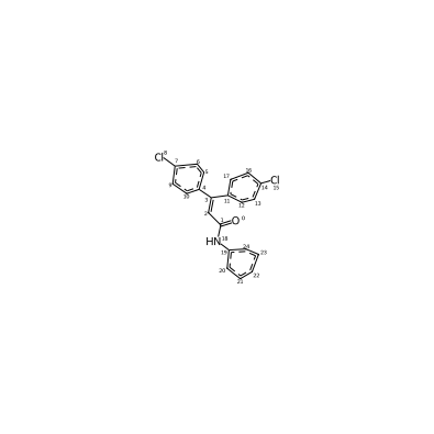 O=C(C=C(c1ccc(Cl)cc1)c1ccc(Cl)cc1)Nc1ccccc1